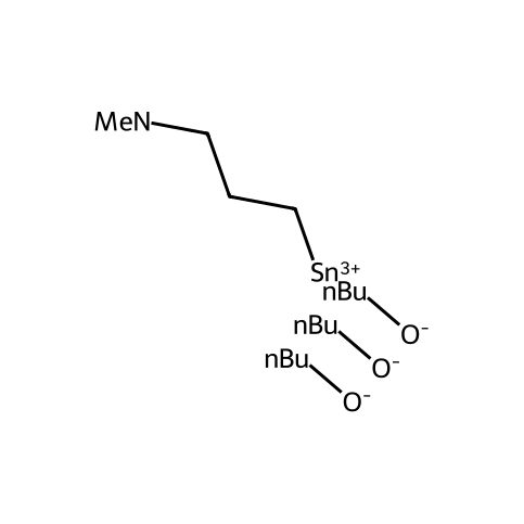 CCCC[O-].CCCC[O-].CCCC[O-].CNCC[CH2][Sn+3]